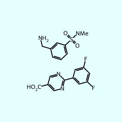 CNS(=O)(=O)c1cccc(CN)c1.O=C(O)c1cnc(-c2cc(F)cc(F)c2)nc1